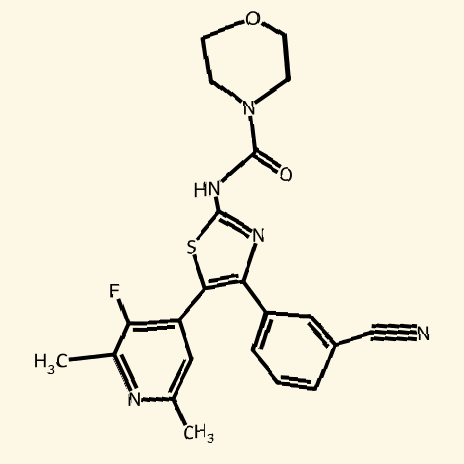 Cc1cc(-c2sc(NC(=O)N3CCOCC3)nc2-c2cccc(C#N)c2)c(F)c(C)n1